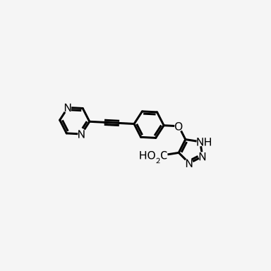 O=C(O)c1nn[nH]c1Oc1ccc(C#Cc2cnccn2)cc1